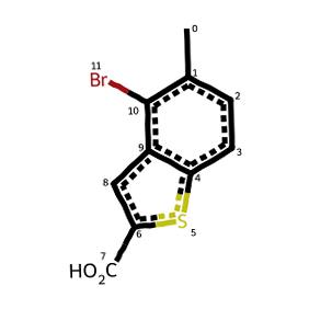 Cc1ccc2sc(C(=O)O)cc2c1Br